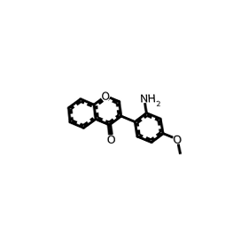 COc1ccc(-c2coc3ccccc3c2=O)c(N)c1